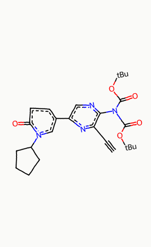 C#Cc1nc(-c2ccc(=O)n(C3CCCC3)c2)cnc1N(C(=O)OC(C)(C)C)C(=O)OC(C)(C)C